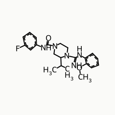 COc1ccccc1NC(=N)N1CCN(C(=O)Nc2cccc(F)c2)CC1C(C)C